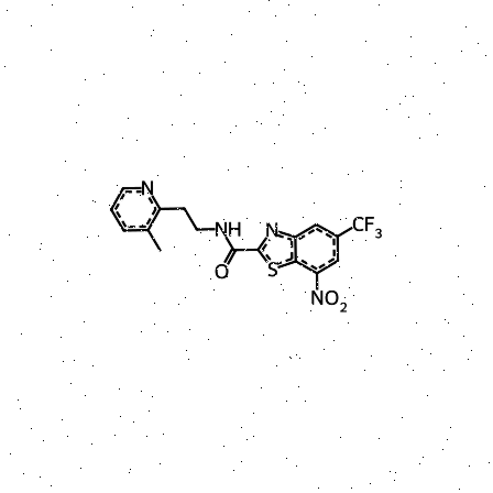 Cc1cccnc1CCNC(=O)c1nc2cc(C(F)(F)F)cc([N+](=O)[O-])c2s1